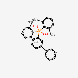 CCCCc1cccc(CCCC)c1P(O)(O)(c1cccc(-c2ccccc2)c1)c1c(CCCC)cccc1CCCC